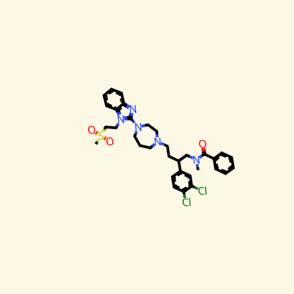 CN(CC(CCN1CCCN(c2nc3ccccc3n2CCS(C)(=O)=O)CC1)c1ccc(Cl)c(Cl)c1)C(=O)c1ccccc1